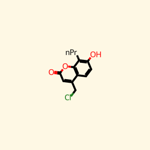 CCCc1c(O)ccc2c(CCl)cc(=O)oc12